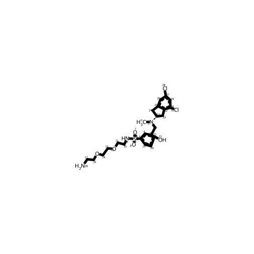 CN(Cc1cc(S(=O)(=O)NCCOCCOCCN)ccc1O)[C@@H]1Cc2cc(Cl)cc(Cl)c2C1